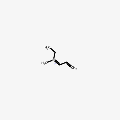 C=C/C=[N+](/C)CC